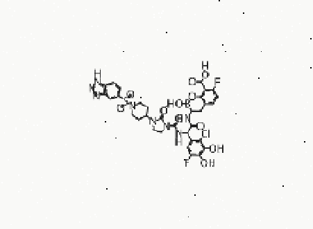 O=C(O)c1c(F)ccc2c1OB(O)C(NC(=O)C(NC(=O)N1CCN(C3CCN(S(=O)(=O)c4ccc5[nH]nnc5c4)CC3)C1=O)c1cc(F)c(O)c(O)c1Cl)C2